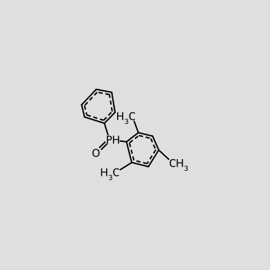 Cc1cc(C)c([PH](=O)c2ccccc2)c(C)c1